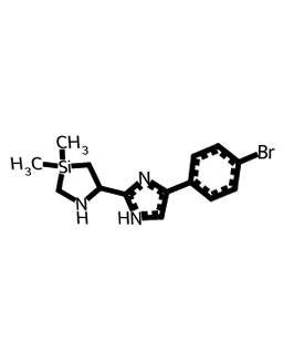 C[Si]1(C)CNC(c2nc(-c3ccc(Br)cc3)c[nH]2)C1